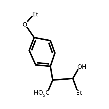 CCOc1ccc(C(C(=O)O)C(O)CC)cc1